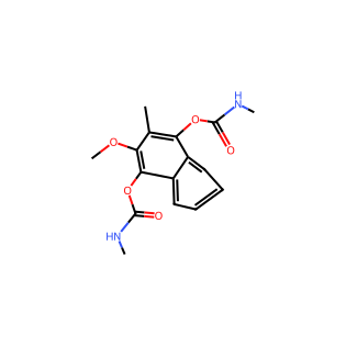 CNC(=O)Oc1c(C)c(OC)c(OC(=O)NC)c2ccccc12